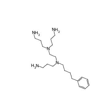 NCCCN(CCCN)CCN(CCCN)CCCCc1ccccc1